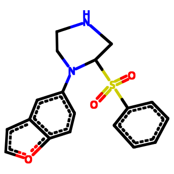 O=S(=O)(c1ccccc1)C1CNCCN1c1ccc2occc2c1